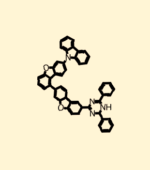 C1=CC2C3=CC(C4=NC(c5ccccc5)NC(c5ccccc5)=N4)CC=C3OC2C=C1c1cccc2oc3cc(-n4c5ccccc5c5ccccc54)ccc3c12